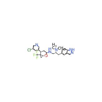 CN(C)[C@H](CNC(=O)C[C@H](c1cncc(Cl)c1)C1(C(F)(F)F)CC1)Cc1ccc2[nH]ncc2c1